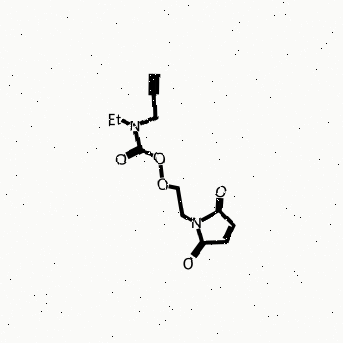 C#CCN(CC)C(=O)OOCCN1C(=O)C=CC1=O